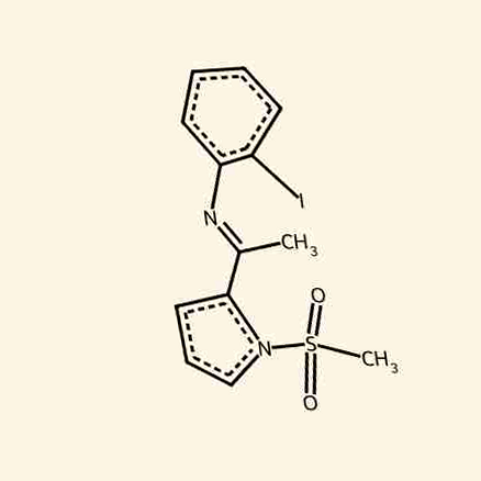 CC(=Nc1ccccc1I)c1cccn1S(C)(=O)=O